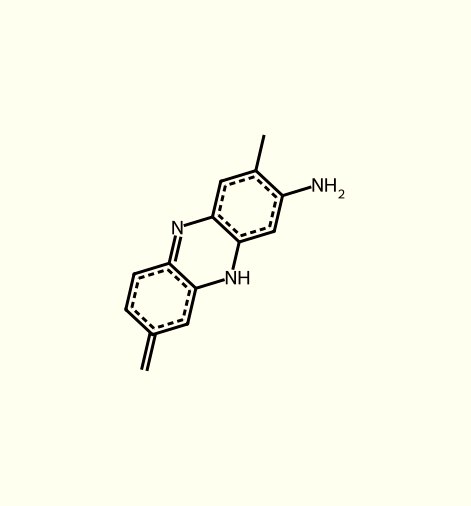 C=c1ccc2c(c1)Nc1cc(N)c(C)cc1N=2